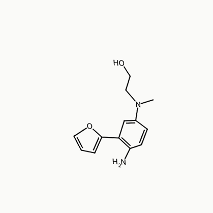 CN(CCO)c1ccc(N)c(-c2ccco2)c1